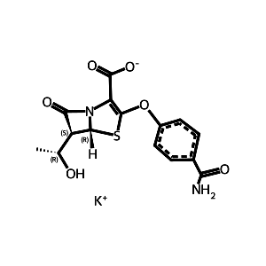 C[C@@H](O)[C@H]1C(=O)N2C(C(=O)[O-])=C(Oc3ccc(C(N)=O)cc3)S[C@H]12.[K+]